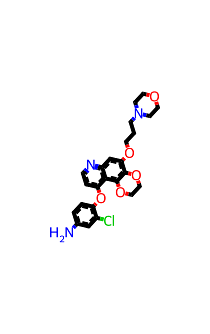 Nc1ccc(Oc2ccnc3cc(OCCCN4CCOCC4)c4c(c23)OCCO4)c(Cl)c1